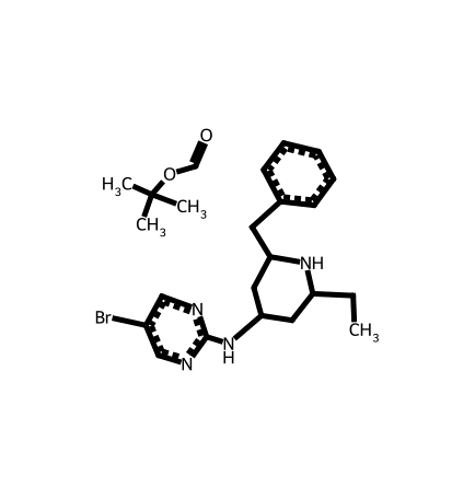 CC(C)(C)OC=O.CCC1CC(Nc2ncc(Br)cn2)CC(Cc2ccccc2)N1